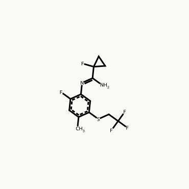 Cc1cc(F)c(/N=C(\N)C2(F)CC2)cc1SCC(F)(F)F